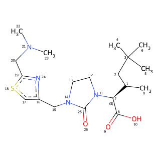 CC(CC(C)(C)C)[C@@H](C(=O)O)N1CCN(Cc2csc(CN(C)C)n2)C1=O